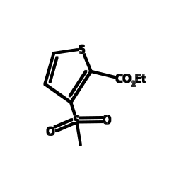 CCOC(=O)c1sccc1S(C)(=O)=O